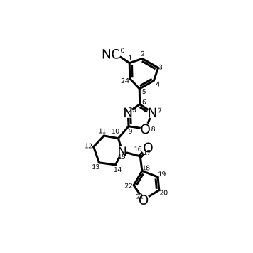 N#Cc1cccc(-c2noc(C3CCCCN3C(=O)c3ccoc3)n2)c1